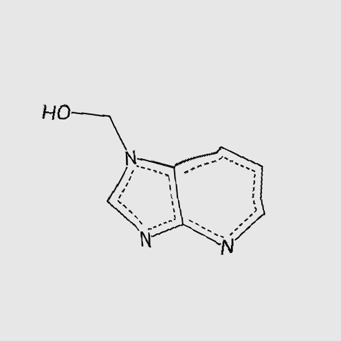 OCn1cnc2ncccc21